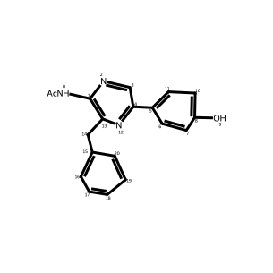 CC(=O)Nc1ncc(-c2ccc(O)cc2)nc1Cc1ccccc1